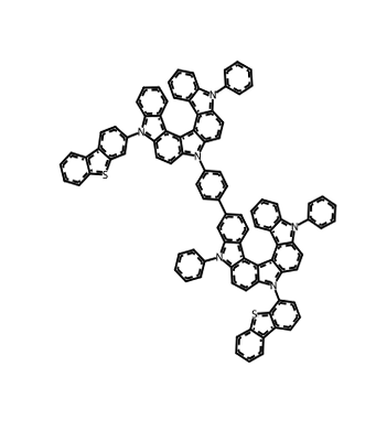 c1ccc(-n2c3ccccc3c3c4c5c6c7ccccc7n(-c7ccc8c(c7)sc7ccccc78)c6ccc5n(-c5ccc(-c6ccc7c8c9c%10c%11c%12ccccc%12n(-c%12ccccc%12)c%11ccc%10n(-c%10cccc%11c%10sc%10ccccc%10%11)c9ccc8n(-c8ccccc8)c7c6)cc5)c4ccc32)cc1